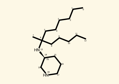 CCCCCCC(C)(CCCCC)N[C@H]1CCCNC1